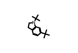 CC(C)(C)c1ccc2c(c1)N(C(C)(C)C)CC2